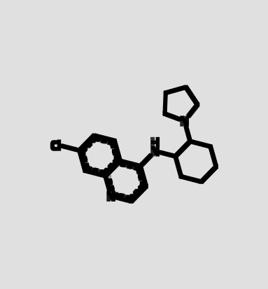 Clc1ccc2c(NC3CCCCC3N3CCCC3)ccnc2c1